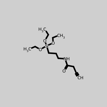 C#CCC(=O)NCCC[Si](OCC)(OCC)OCC